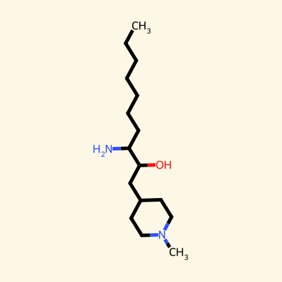 CCCCCCCC(N)C(O)CC1CCN(C)CC1